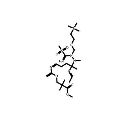 C=C(/N=C\CCC(C)(N=CC)N(C)N(COCC[Si](C)(C)C)C(=N)S(C)(=O)=O)OCC(C)(C)C(=O)OC